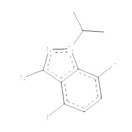 CC(C)n1nc(N)c2c(Cl)ccc(Br)c21